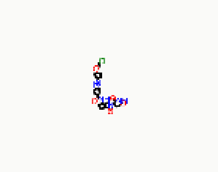 O=C1CCC(N2Cc3c(NC(=O)c4ccc(N=Nc5ccc(OCCCl)cc5)cc4)cccc3C2=O)C(=O)N1